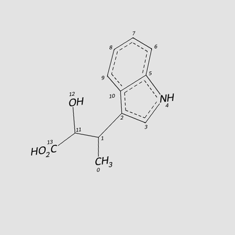 CC(c1c[nH]c2ccccc12)C(O)C(=O)O